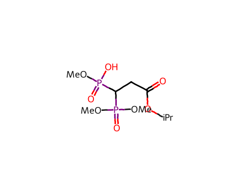 COP(=O)(O)C(CC(=O)OC(C)C)P(=O)(OC)OC